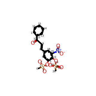 CS(=O)(=O)Oc1cc(C=CC(=O)c2ccccc2)cc([N+](=O)[O-])c1OS(C)(=O)=O